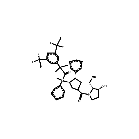 CC(C)(C(=O)[N+](C)(c1ccccc1)[C@@H]1CN(C(=O)N2CC[C@H](O)[C@H]2CO)C[C@H]1c1ccccc1)c1cc(C(F)(F)F)cc(C(F)(F)F)c1